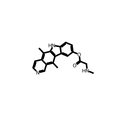 CNCC(=O)Oc1ccc2[nH]c3c(C)c4ccncc4c(C)c3c2c1